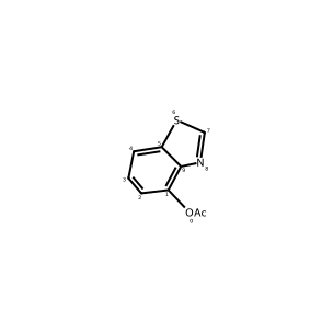 CC(=O)Oc1cccc2scnc12